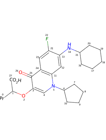 CC(C)C(Oc1cn(C2CCCC2)c2cc(NC3CCCCC3)c(F)cc2c1=O)C(=O)O